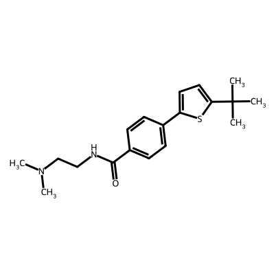 CN(C)CCNC(=O)c1ccc(-c2ccc(C(C)(C)C)s2)cc1